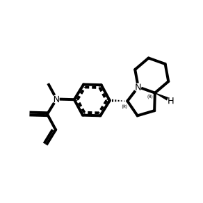 C=CC(=C)N(C)c1ccc([C@H]2CC[C@H]3CCCCN32)cc1